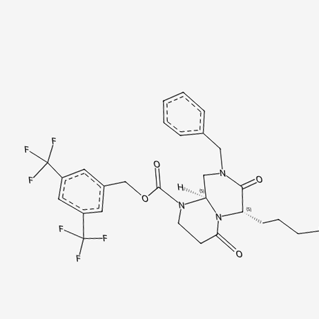 NCCC[C@H]1C(=O)N(Cc2ccccc2)C[C@@H]2N(C(=O)OCc3cc(C(F)(F)F)cc(C(F)(F)F)c3)CCC(=O)N21